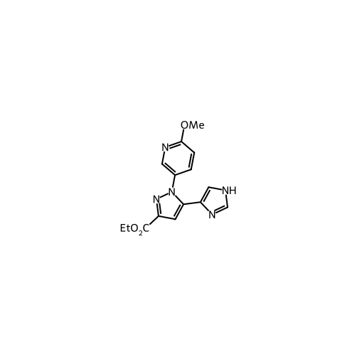 CCOC(=O)c1cc(-c2c[nH]cn2)n(-c2ccc(OC)nc2)n1